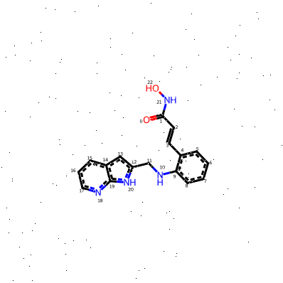 O=C(/C=C/c1ccccc1NCc1cc2cccnc2[nH]1)NO